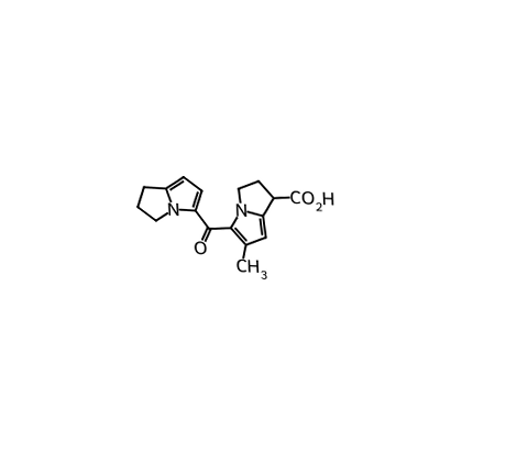 Cc1cc2n(c1C(=O)c1ccc3n1CCC3)CCC2C(=O)O